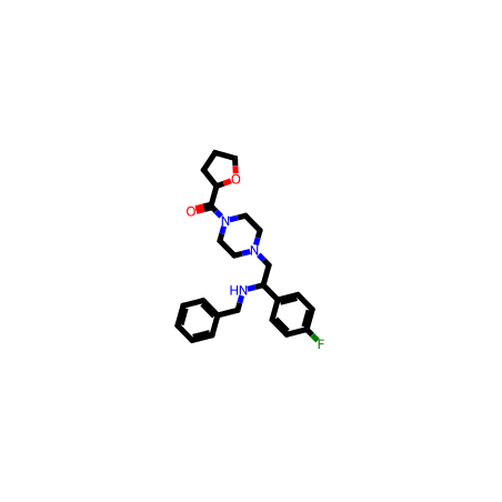 O=C(C1CCCO1)N1CCN(CC(NCc2ccccc2)c2ccc(F)cc2)CC1